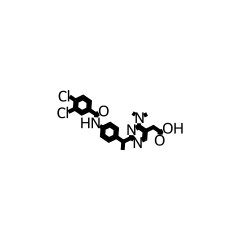 CC(c1ccc(NC(=O)c2ccc(Cl)c(Cl)c2)cc1)c1ncc(CC(=O)O)c(N(C)C)n1